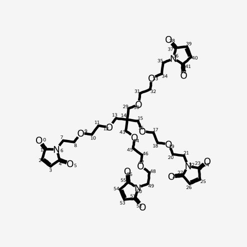 O=C1C=CC(=O)N1CCOCCOCC(COCCOCCN1C(=O)C=CC1=O)(COCCOCCN1C(=O)C=CC1=O)COCCOCCN1C(=O)C=CC1=O